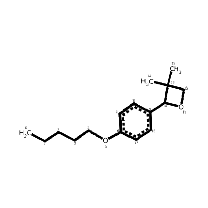 CCCCCOc1ccc(C2OCC2(C)C)cc1